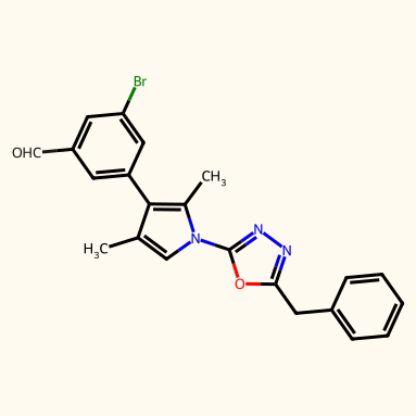 Cc1cn(-c2nnc(Cc3ccccc3)o2)c(C)c1-c1cc(Br)cc(C=O)c1